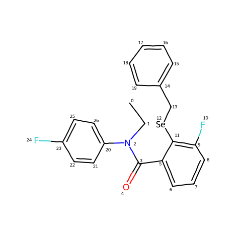 CCN(C(=O)c1cccc(F)c1[Se]Cc1ccccc1)c1ccc(F)cc1